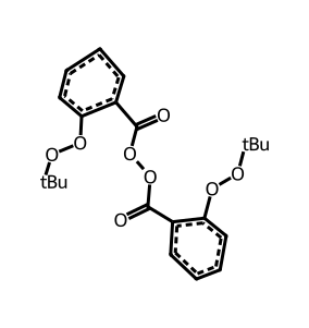 CC(C)(C)OOc1ccccc1C(=O)OOC(=O)c1ccccc1OOC(C)(C)C